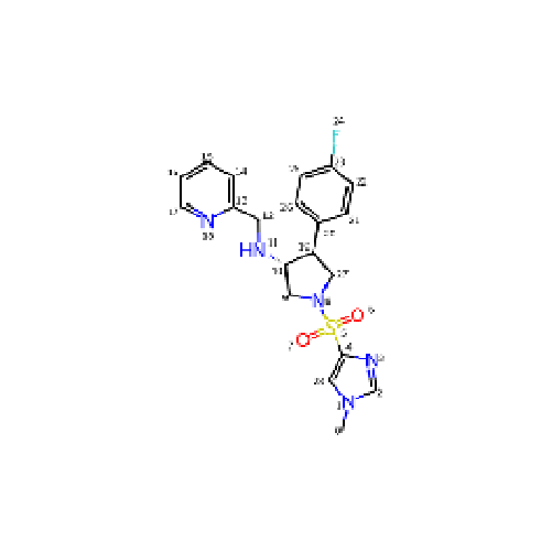 Cn1cnc(S(=O)(=O)N2C[C@H](NCc3ccccn3)[C@@H](c3ccc(F)cc3)C2)c1